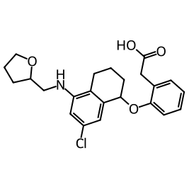 O=C(O)Cc1ccccc1OC1CCCc2c(NCC3CCCO3)cc(Cl)cc21